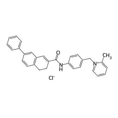 Cc1cccc[n+]1Cc1ccc(NC(=O)C2=Cc3cc(-c4ccccc4)ccc3CC2)cc1.[Cl-]